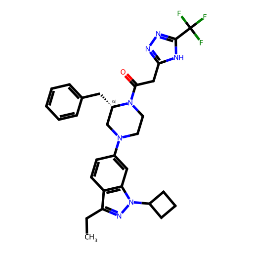 CCc1nn(C2CCC2)c2cc(N3CCN(C(=O)Cc4nnc(C(F)(F)F)[nH]4)[C@@H](Cc4ccccc4)C3)ccc12